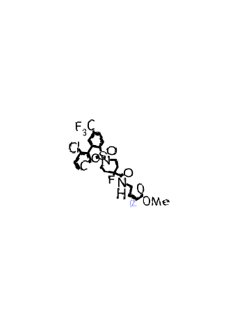 COC(=O)/C=C\CNC(=O)C1(F)CCN(S(=O)(=O)c2ccc(C(F)(F)F)cc2-c2ccccc2Cl)CC1